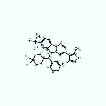 Cc1noc(C)c1-c1cnc2c3ccc(C(C)(C)O)nc3n(C(c3ccccc3)C3CCC(F)(F)CC3)c2c1